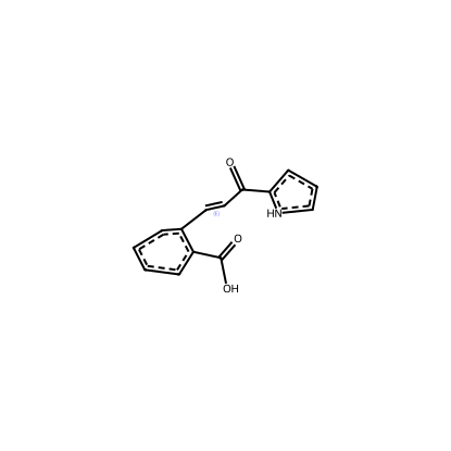 O=C(/C=C/c1ccccc1C(=O)O)c1ccc[nH]1